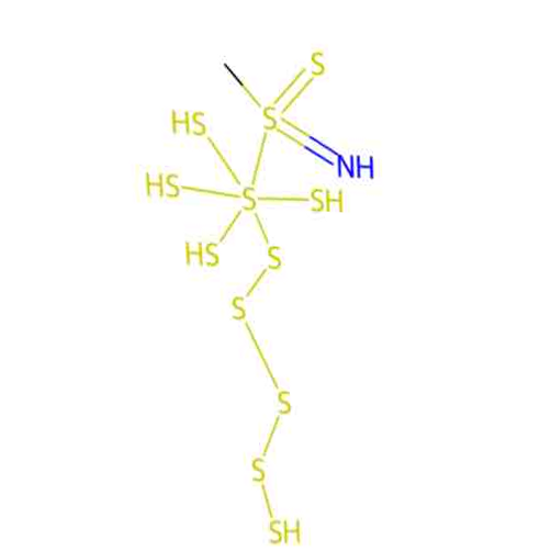 CS(=N)(=S)S(S)(S)(S)(S)SSSSS